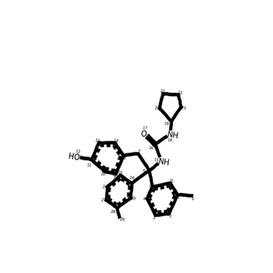 Cc1cccc(C(Cc2ccc(O)cc2)(NC(=O)NC2CCCC2)c2cccc(C)c2)c1